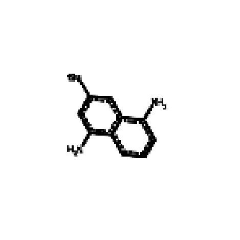 CC(C)(C)c1cc(N)c2cccc(N)c2c1